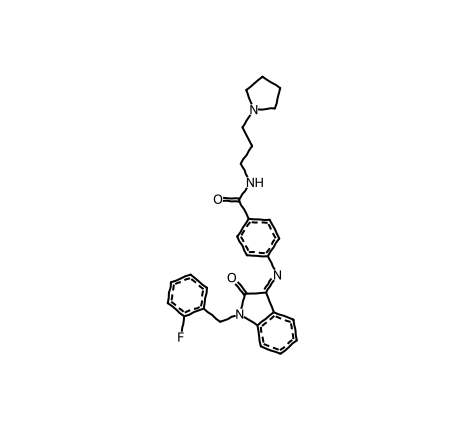 O=C(NCCCN1CCCC1)c1ccc(N=C2C(=O)N(Cc3ccccc3F)c3ccccc32)cc1